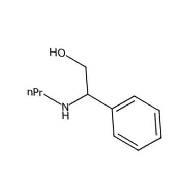 CCCNC(CO)c1ccccc1